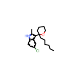 CCCCCCC1(c2c(C)[nH]c3ccc(Cl)cc23)CCCCO1